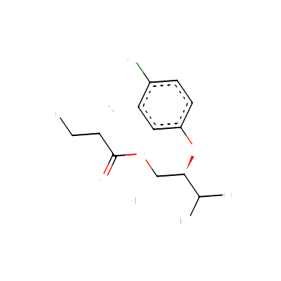 CCC(CC)[C@H](Oc1ccc(Cl)cc1)[C@H](C)OC(=O)[C@@H](N)CC(C)C